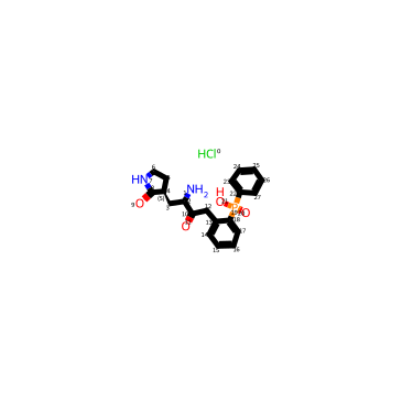 Cl.NC(C[C@@H]1CCNC1=O)C(=O)Cc1ccccc1P(=O)(O)c1ccccc1